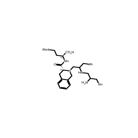 CSCC[C@H](NC(=O)[C@H]1Cc2ccccc2CN1CC(CC(C)C)NCC(N)CS)C(=O)O